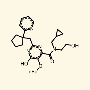 CCCCOc1c(O)nc(CC2(c3ccccn3)CCCC2)nc1C(=O)N(CCO)CC1CC1